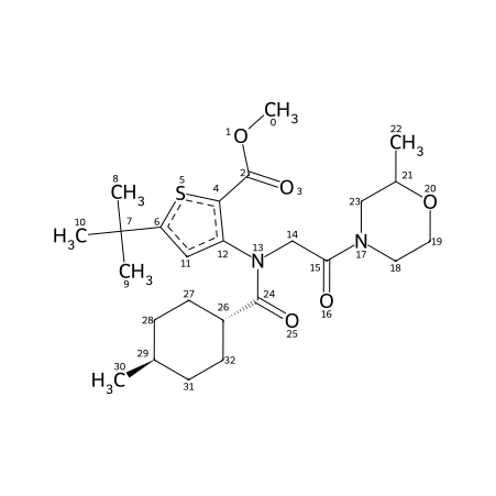 COC(=O)c1sc(C(C)(C)C)cc1N(CC(=O)N1CCOC(C)C1)C(=O)[C@H]1CC[C@H](C)CC1